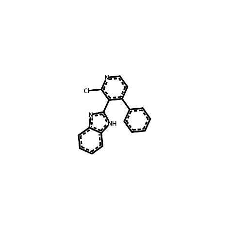 Clc1nccc(-c2ccccc2)c1-c1nc2ccccc2[nH]1